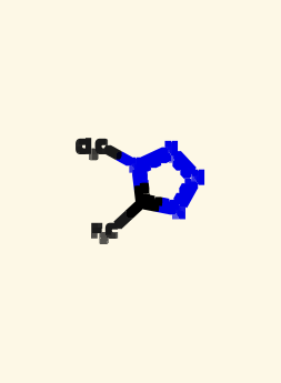 FC(F)(F)c1nnnn1C(Cl)(Cl)Cl